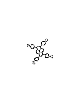 COc1ccc(-c2cc(-c3ccc(OC)cc3)c3ccc4c(-c5ccc([Si](C)(C)C)cc5)cc(-c5ccc(OC)cc5)c5ccc2c3c54)cc1